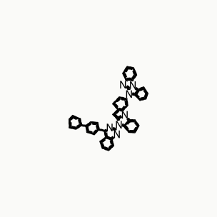 c1ccc(-c2ccc(-c3nc(-n4c5ccccc5n5c6cc(-n7c8ccccc8n8c9ccccc9nc78)ccc6cc45)nc4ccccc34)cc2)cc1